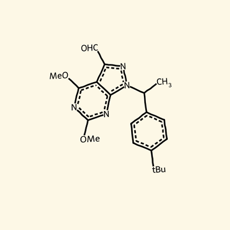 COc1nc(OC)c2c(C=O)nn(C(C)c3ccc(C(C)(C)C)cc3)c2n1